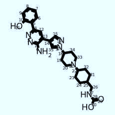 Nc1nnc(-c2ccccc2O)cc1-c1cnn(C2CCN(C3CCC(CNC(=O)O)CC3)CC2)c1